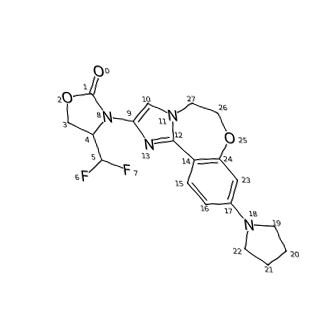 O=C1OCC(C(F)F)N1c1cn2c(n1)-c1ccc(N3CCCC3)cc1OCC2